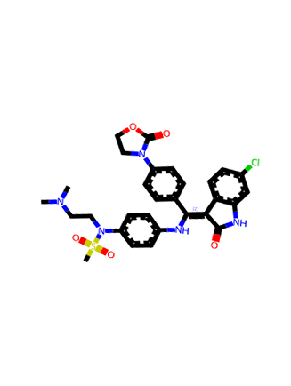 CN(C)CCN(c1ccc(N/C(=C2\C(=O)Nc3cc(Cl)ccc32)c2ccc(N3CCOC3=O)cc2)cc1)S(C)(=O)=O